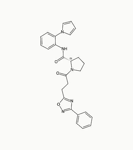 O=C(Nc1ccccc1-n1cccc1)[C@@H]1CCCN1C(=O)CCc1nc(-c2ccccc2)no1